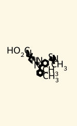 Cc1cccc(-c2nc(N3CCC4(CN(C(=O)O)C4)C3)nc3c2CC[C@@H](c2scnc2C)C3)c1C